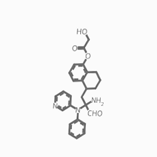 NC(C=O)(CC1CCCc2c(OC(=O)CO)cccc21)N(c1ccccc1)c1cccnc1